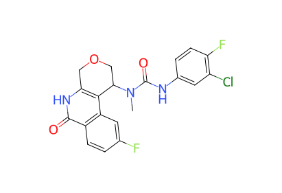 CN(C(=O)Nc1ccc(F)c(Cl)c1)C1COCc2[nH]c(=O)c3ccc(F)cc3c21